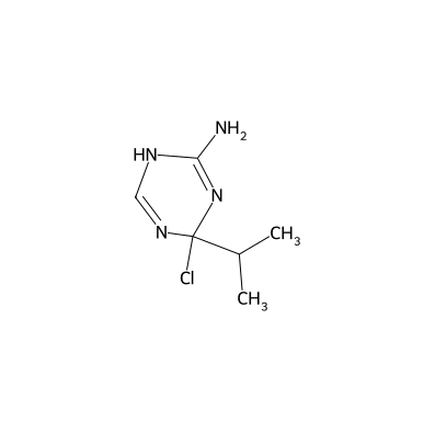 CC(C)C1(Cl)N=CNC(N)=N1